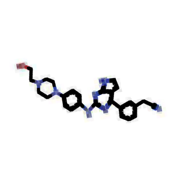 N#CCc1cccc(-c2nc(Nc3ccc(N4CCN(CCO)CC4)cc3)nc3[nH]ccc23)c1